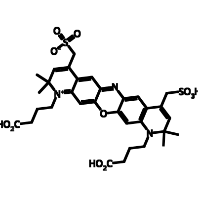 CC1(C)C=C(CS(=O)(=O)O)c2cc3c(cc2N1CCCC(=O)O)Oc1cc2c(cc1=N3)C(CS(=O)(=O)[O-])=CC(C)(C)[N+]=2CCCC(=O)O